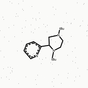 CC(C)(C)N1CCN(C(C)(C)C)C(c2ccccn2)C1